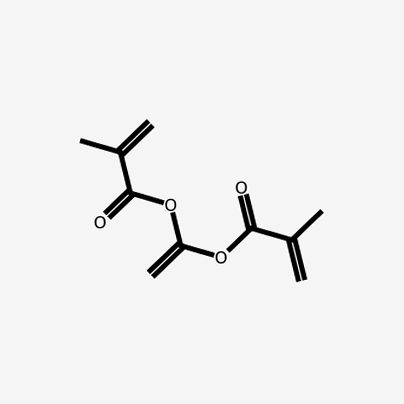 C=C(OC(=O)C(=C)C)OC(=O)C(=C)C